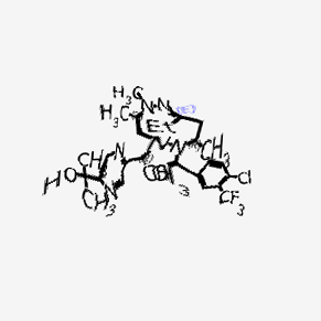 CC/C1=N\N(C)[C@H](C)CN([C@H](C)c2cnc(C(C)(C)O)cn2)N(C(=O)c2ccc(Cl)c(C(F)(F)F)c2)[C@H](C)C1